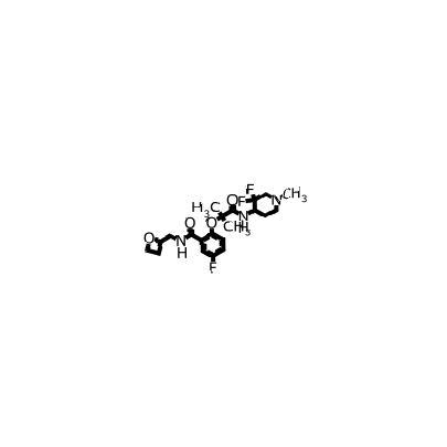 CN1CCC(NC(=O)C(C)(C)Oc2ccc(F)cc2C(=O)NCC2CCO2)C(F)(F)C1